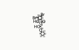 O=C(OCC(O)COc1ccccc1)c1cc(Br)cc(Br)c1O